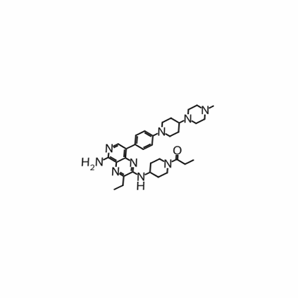 CCC(=O)N1CCC(Nc2nc3c(-c4ccc(N5CCC(N6CCN(C)CC6)CC5)cc4)cnc(N)c3nc2CC)CC1